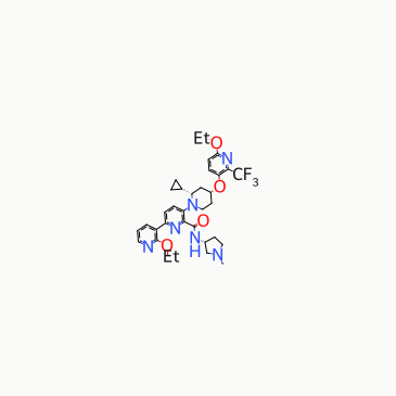 CCOc1ccc(O[C@@H]2CCN(c3ccc(-c4cccnc4OCC)nc3C(=O)N[C@@H]3CCN(C)C3)[C@H](C3CC3)C2)c(C(F)(F)F)n1